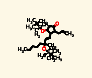 C=CCC1C(=O)CC(O[Si](C)(C)C(C)(C)C)C1C=CC(C)(CCCCC)O[Si](C)(C)C(C)(C)C